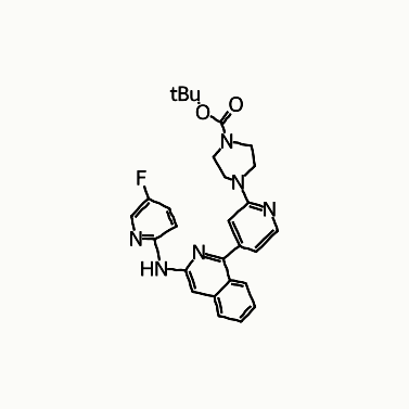 CC(C)(C)OC(=O)N1CCN(c2cc(-c3nc(Nc4ccc(F)cn4)cc4ccccc34)ccn2)CC1